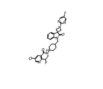 O=C(NC1CCC(CN2C(=O)C3(CN(c4ncc(F)cn4)C3)c3ccccc32)CC1)c1cc(Cl)cnc1C(F)F